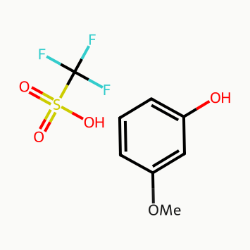 COc1cccc(O)c1.O=S(=O)(O)C(F)(F)F